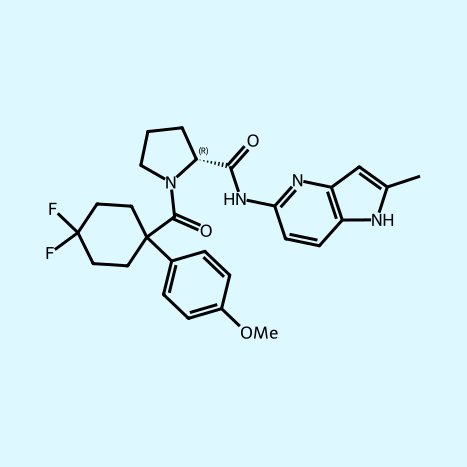 COc1ccc(C2(C(=O)N3CCC[C@@H]3C(=O)Nc3ccc4[nH]c(C)cc4n3)CCC(F)(F)CC2)cc1